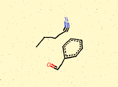 CCCC#N.O=Cc1ccccc1